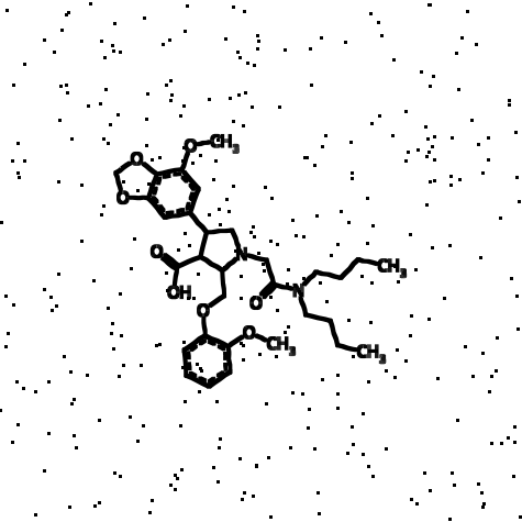 CCCCN(CCCC)C(=O)CN1CC(c2cc(OC)c3c(c2)OCO3)C(C(=O)O)C1COc1ccccc1OC